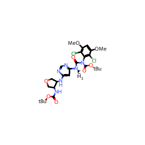 COc1cc(OC)c(Cl)c(N(C(=O)OC(C)(C)C)C(=O)N(C)c2cc(NC3COCC3NC(=O)OC(C)(C)C)ncn2)c1Cl